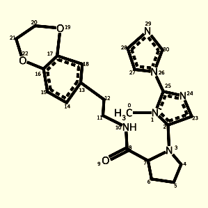 Cn1c(N2CCCC2C(=O)NCCc2ccc3c(c2)OCCO3)cnc1-n1ccnc1